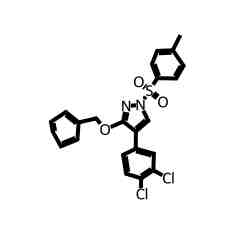 Cc1ccc(S(=O)(=O)n2cc(-c3ccc(Cl)c(Cl)c3)c(OCc3ccccc3)n2)cc1